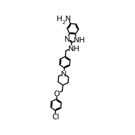 Nc1ccc2[nH]c(NCc3ccc(N4CCC(COc5ccc(Cl)cc5)CC4)cc3)nc2c1